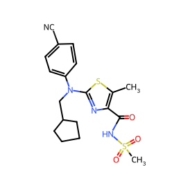 Cc1sc(N(CC2CCCC2)c2ccc(C#N)cc2)nc1C(=O)NS(C)(=O)=O